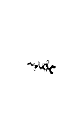 C=CCOC(=O)NCC1=NC(=C(CC)CC)C(=O)O1